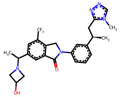 CC(c1cc2c(c(C(F)(F)F)c1)CN(c1cccc([C@H](C)Cc3nncn3C)c1)C2=O)N1CC(O)C1